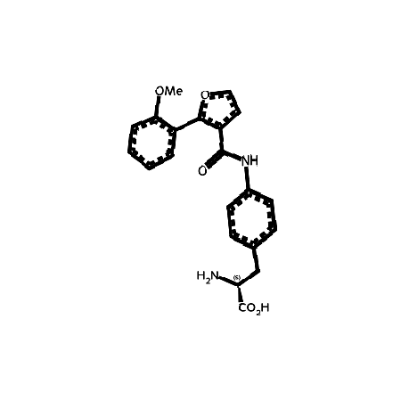 COc1ccccc1-c1occc1C(=O)Nc1ccc(C[C@H](N)C(=O)O)cc1